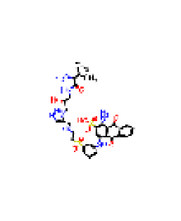 CC(C)C(N)C(=O)NCC(O)Cn1nncc1CNCCS(=O)(=O)c1cccc(Nc2cc(S(=O)(=O)O)c(N)c3c2C(=O)c2ccccc2C3=O)c1